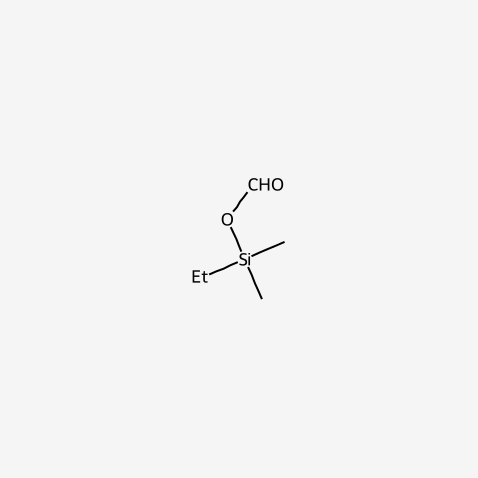 CC[Si](C)(C)OC=O